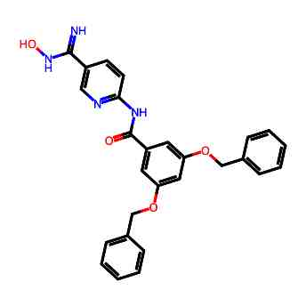 N=C(NO)c1ccc(NC(=O)c2cc(OCc3ccccc3)cc(OCc3ccccc3)c2)nc1